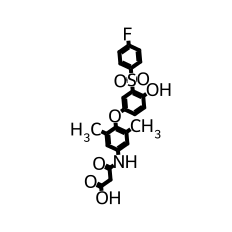 Cc1cc(NC(=O)CC(=O)O)cc(C)c1Oc1ccc(O)c(S(=O)(=O)c2ccc(F)cc2)c1